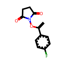 C=C(ON1C(=O)CCC1=O)c1ccc(F)cc1